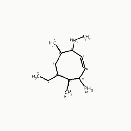 CCC1CC(C)C(NC)C=CC(P)C1C